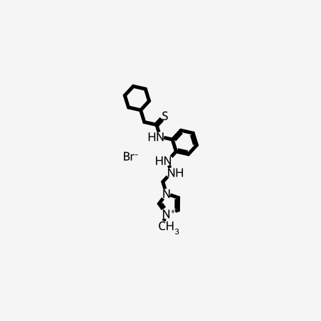 C[n+]1ccn(CNNc2ccccc2NC(=S)CC2CCCCC2)c1.[Br-]